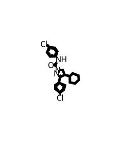 O=C(Nc1ccc(Cl)cc1)N1CC(C2CCCCC2)C(c2ccc(Cl)cc2)=N1